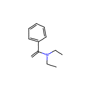 C=C(c1ccccc1)N(CC)CC